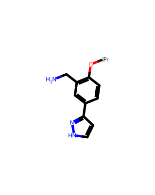 CC(C)Oc1ccc(-c2cc[nH]n2)cc1CN